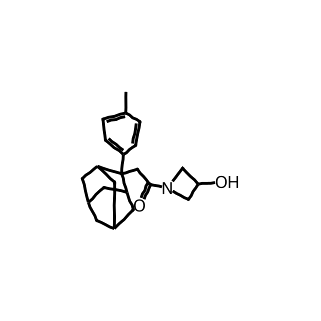 Cc1ccc(C2(CC(=O)N3CC(O)C3)C3CC4CC(C3)CC2C4)cc1